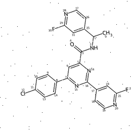 CC(NC(=O)c1cc(-c2ccc(Cl)cc2)nc(-c2ccnc(F)c2)n1)c1ccnc(F)c1